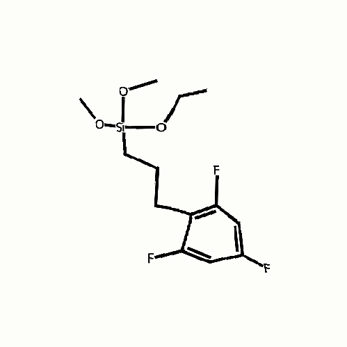 CCO[Si](CCCc1c(F)cc(F)cc1F)(OC)OC